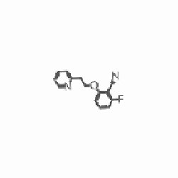 N#Cc1c(F)cccc1OCCc1ccccn1